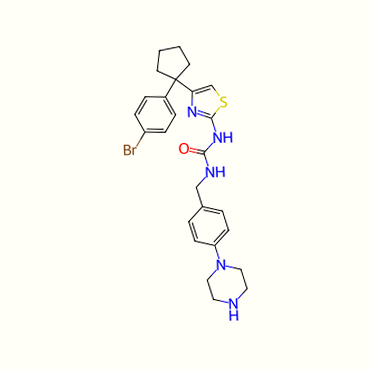 O=C(NCc1ccc(N2CCNCC2)cc1)Nc1nc(C2(c3ccc(Br)cc3)CCCC2)cs1